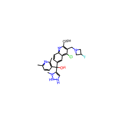 COc1nc2ccc(C(O)(C3=CNNN3C)c3ccc(C)nc3C)cc2c(Cl)c1CN1CC(F)C1